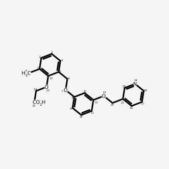 Cc1cccc(COc2cccc(OCc3cccnc3)c2)c1OCC(=O)O